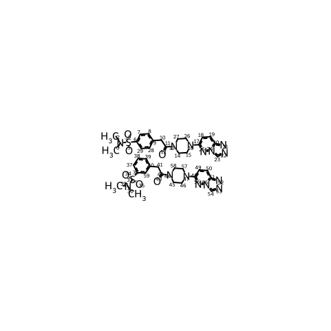 CN(C)S(=O)(=O)c1ccc(CC(=O)N2CCN(c3ccc4nncn4n3)CC2)cc1.CN(C)S(=O)(=O)c1cccc(CC(=O)N2CCN(c3ccc4nncn4n3)CC2)c1